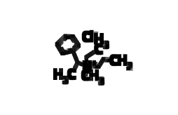 C=CC[N+](C)(CC)C(C)c1ccccc1.[Cl-]